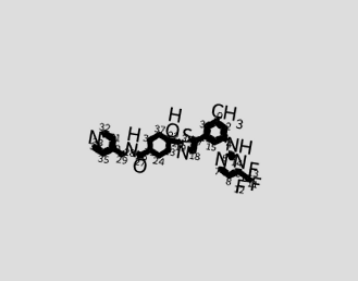 Cc1cc(Nc2nccc(C(F)(F)F)n2)cc(-c2cnc(C3(O)CCC(C(=O)NCc4ccncc4)CC3)s2)c1